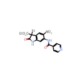 CCOC(=O)C1(CC)C(=O)Nc2cc(NC(=O)c3ccncc3)c([N+](=O)[O-])cc21